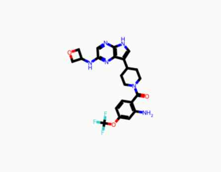 Nc1cc(OC(F)(F)F)ccc1C(=O)N1CCC(c2c[nH]c3ncc(NC4COC4)nc23)CC1